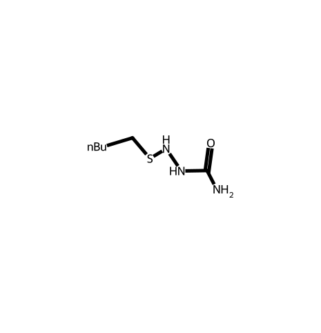 CCCCCSNNC(N)=O